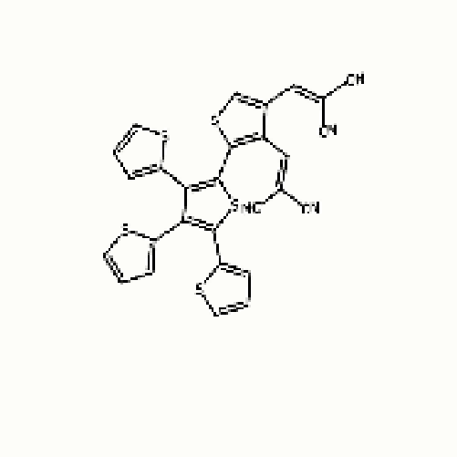 N#CC(C#N)=Cc1csc(-c2sc(-c3cccs3)c(-c3cccs3)c2-c2cccs2)c1C=C(C#N)C#N